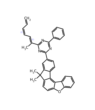 C=C/C=C\C=C(/C)c1nc(-c2ccccc2)nc(-c2ccc3c(c2)C(C)(C)c2ccc4oc5ccccc5c4c2-3)n1